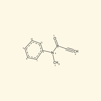 C#CC(=O)N(C)c1ccccc1